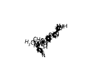 CC(C)n1cc(NC(=O)Nc2ccc(Oc3ccnc(-c4cn[nH]c4)c3)cc2)c(-c2ccc(C#N)nc2)n1